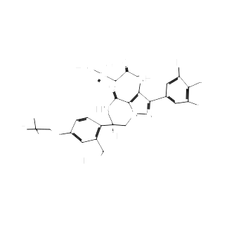 CCc1cc(OCC(F)(F)F)ccc1[C@@]1(C)Cn2nc(-c3cc(F)c(F)c(F)c3)c(NC(=O)CS(C)(=O)=O)c2C(=O)N1